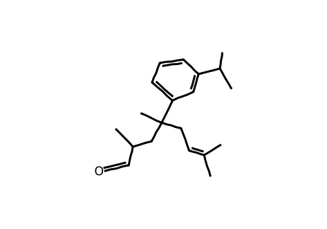 CC(C)=CCC(C)(CC(C)C=O)c1cccc(C(C)C)c1